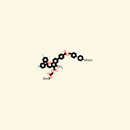 CCCCC[C@H]1CC[C@H](c2ccc(COC(=O)c3ccc(-c4ccc5c6c(c(C(=O)OCC(=O)OOC)c(C)c5c4)C=CC(c4ccc(F)cc4)(c4ccc(F)cc4)O6)cc3)cc2)CC1